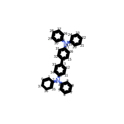 C1=CC(N(c2ccccc2)c2ccc(-c3ccc(N(c4ccccc4)c4ccccc4)cc3)cc2)=CCC1